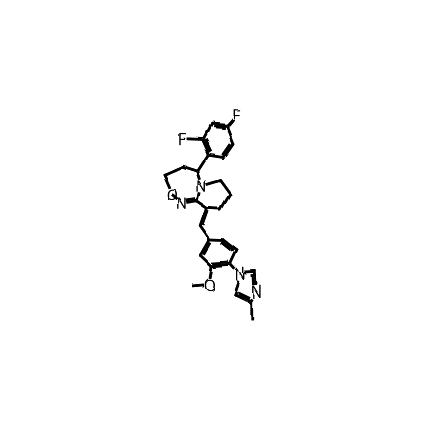 COc1cc(/C=C2\CCCN3C2=NOCCC3c2ccc(F)cc2F)ccc1-n1cnc(C)c1